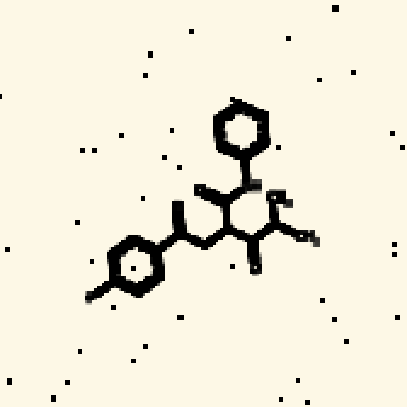 CC(C)C(=O)C(CC(=O)c1ccc(F)cc1)C(=O)Nc1ccccc1